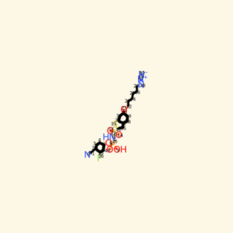 N#Cc1ccc(OP(=O)(O)CNS(=O)(=O)c2cc3ccc(OCCCCCCN=[N+]=[N-])cc3s2)cc1F